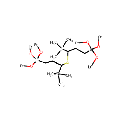 CCO[Si](CCC(SC(CC[Si](OCC)(OCC)OCC)[Si](C)(C)C)[Si](C)(C)C)(OCC)OCC